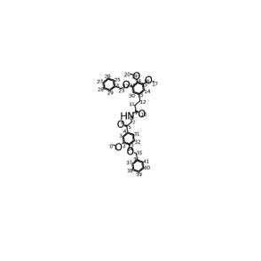 COc1cc(C(=O)CNC(=O)CCc2cc(OC)c(OC)c(OCc3ccccc3)c2)ccc1OCc1ccccc1